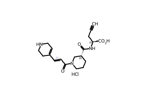 C#CC[C@H](NC(=O)[C@@H]1CCCN(C(=O)/C=C/C2=CCNCC2)C1)C(=O)O.Cl